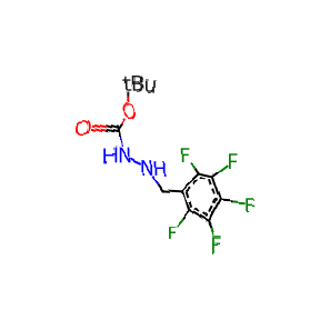 CC(C)(C)OC(=O)NNCc1c(F)c(F)c(F)c(F)c1F